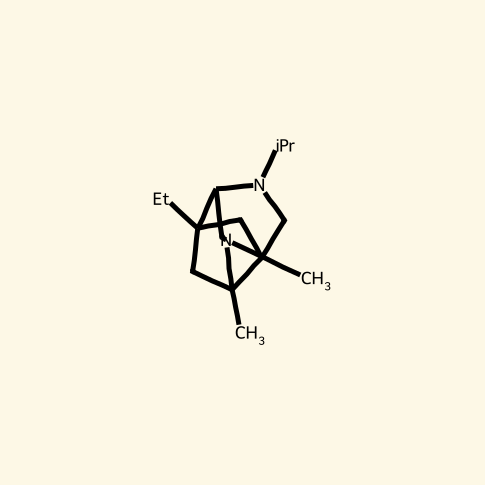 CCC12CC3CN(C(C)C)C1CN(C)C3(C)C2